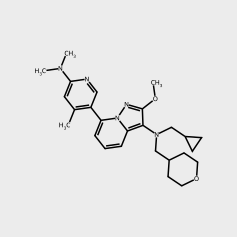 COc1nn2c(-c3cnc(N(C)C)cc3C)cccc2c1N(CC1CCOCC1)CC1CC1